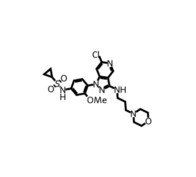 COc1cc(NS(=O)(=O)C2CC2)ccc1-n1nc(NCCCN2CCOCC2)c2cnc(Cl)cc21